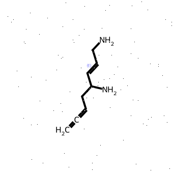 C=C=CCC(N)/C=C/CN